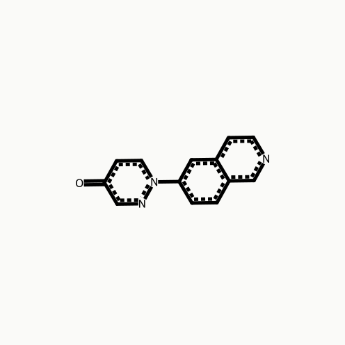 O=c1ccn(-c2ccc3cnccc3c2)nc1